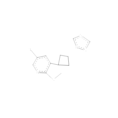 Clc1cnc2c(c1)[C@]1(CN2)C[C@@H](n2cncn2)C1